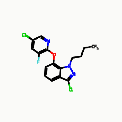 Fc1cc(Cl)cnc1Oc1cccc2c(Cl)nn(CCCC(F)(F)F)c12